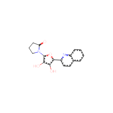 O=C1CCCN1c1oc(-c2ccc3ccccc3n2)c(O)c1O